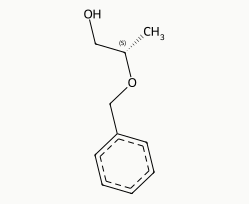 C[C@@H](CO)OCc1ccccc1